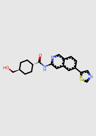 O=C(Nc1cc2cc(-c3cncs3)ccc2cn1)[C@H]1CC[C@H](CO)CC1